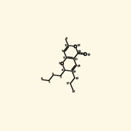 CCCCC1Oc2cc(C)oc(=O)c2C=C1CCC